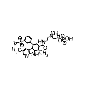 CC1=C(C(=O)NCCN(C)CCOP(=O)(O)O)C=C(c2cccc(S(=O)(=O)C3CC3)c2)C2c3cc(C)cnc3NC12